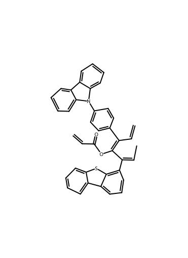 C=CC(=O)OC(/C(=C\C)c1cccc2c1sc1ccccc12)=C(/C=C)c1ccc(-n2c3ccccc3c3ccccc32)cc1